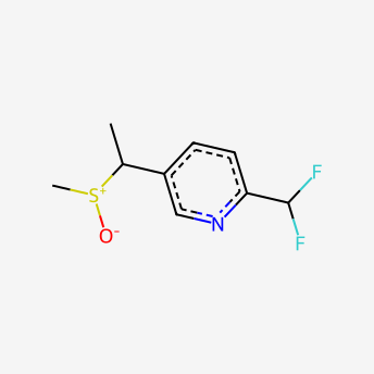 CC(c1ccc(C(F)F)nc1)[S+](C)[O-]